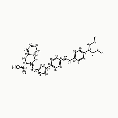 CCCC(CCC)c1ccc(COc2ccc(-c3csc(CN4Cc5ccccc5C[C@H]4C(=O)O)n3)cc2)cc1